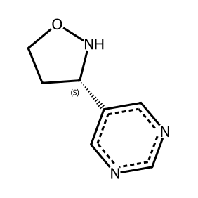 c1ncc([C@@H]2CCON2)cn1